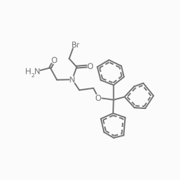 NC(=O)CN(CCOC(c1ccccc1)(c1ccccc1)c1ccccc1)C(=O)CBr